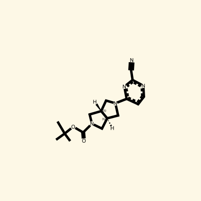 CC(C)(C)OC(=O)N1C[C@@H]2CN(c3ccnc(C#N)n3)C[C@H]2C1